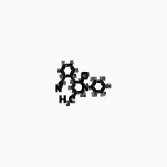 Cc1cc(-c2ccccc2C#N)c(=O)n(-c2ccccc2)c1